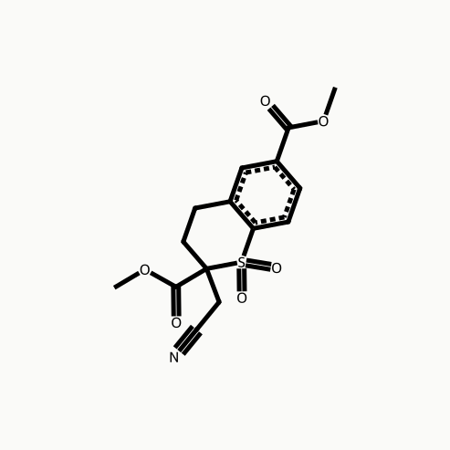 COC(=O)c1ccc2c(c1)CCC(CC#N)(C(=O)OC)S2(=O)=O